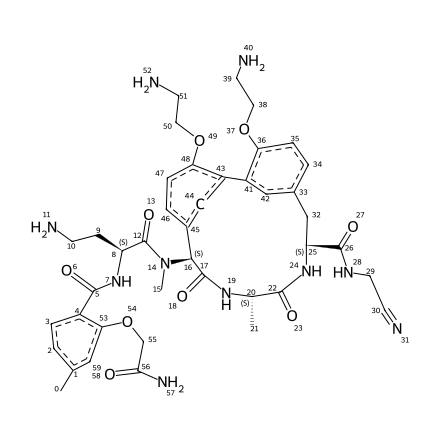 Cc1ccc(C(=O)N[C@@H](CCN)C(=O)N(C)[C@@H]2C(=O)N[C@@H](C)C(=O)N[C@H](C(=O)NCC#N)Cc3ccc(OCCN)c(c3)-c3cc2ccc3OCCN)c(OCC(N)=O)c1